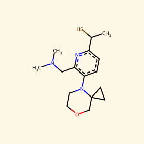 CC(S)c1ccc(N2CCOCC23CC3)c(CN(C)C)n1